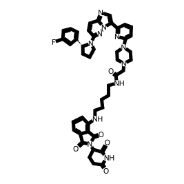 O=C(CN1CCN(c2cccc(-c3cnc4ccc(N5CCC[C@@H]5c5cccc(F)c5)nn34)n2)CC1)NCCCCCNc1cccc2c1C(=O)N(C1CCC(=O)NC1=O)C2=O